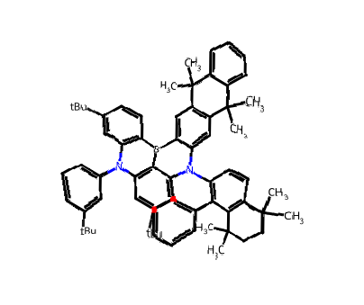 CC(C)(C)c1cccc(N2c3cc(C(C)(C)C)ccc3B3c4cc5c(cc4N(c4ccc6c(c4-c4ccccc4)C(C)(C)CCC6(C)C)c4cc(C(C)(C)C)cc2c43)C(C)(C)c2ccccc2C5(C)C)c1